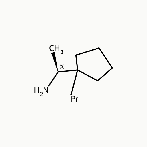 CC(C)C1([C@H](C)N)CCCC1